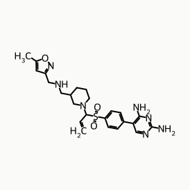 C=CC(N1CCCC(CNCc2cc(C)on2)C1)S(=O)(=O)c1ccc(-c2cnc(N)nc2N)cc1